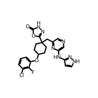 O=c1[nH]nc(C2(Cc3cncc(Nc4cc[nH]n4)n3)CCC(Oc3cccc(Cl)c3F)CC2)o1